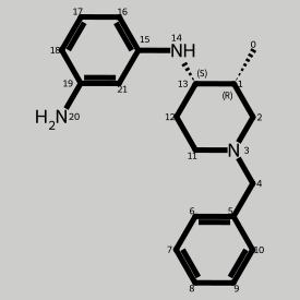 C[C@@H]1CN(Cc2ccccc2)CC[C@@H]1Nc1cccc(N)c1